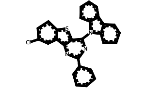 Clc1ccc2sc3c(-n4c5ccccc5c5ccccc54)nc(-c4ccccc4)nc3c2c1